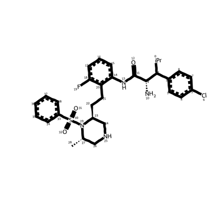 CC(C)C(c1ccc(Cl)cc1)[C@H](N)C(=O)Nc1cccc(F)c1CC[C@H]1CNC[C@H](C)N1S(=O)(=O)c1ccccc1